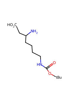 CC(C)(C)OC(=O)NCCCCC(N)CC(=O)O